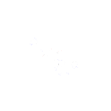 Cn1ccc(-c2cn([C@@H]3O[C@H](C(=O)N4CCc5[nH]cnc5C4)[C@@H](O)[C@H]3O)c3ncnc(N)c23)n1